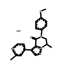 COc1ccc(N2CC(C)n3ncc(-c4ccnc(C)c4)c3C2=O)cc1.Cl